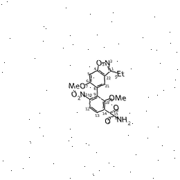 CCc1noc2cc(OC)c(-c3c([N+](=O)[O-])ccc(S(N)(=O)=O)c3OC)cc12